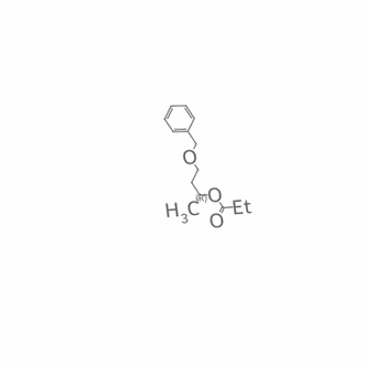 CCC(=O)O[C@H](C)CCOCc1ccccc1